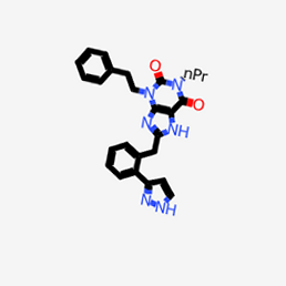 CCCn1c(=O)c2[nH]c(Cc3ccccc3-c3cc[nH]n3)nc2n(CCc2ccccc2)c1=O